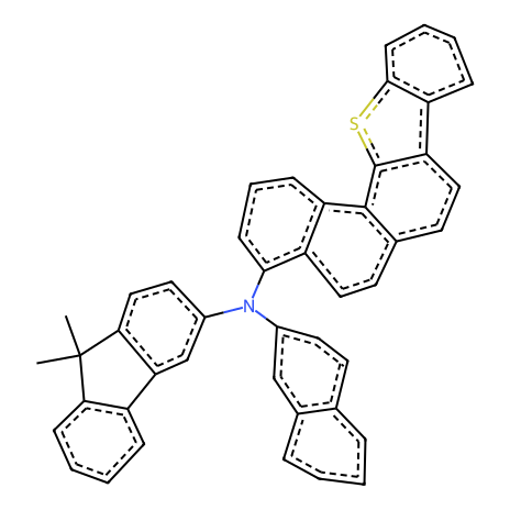 CC1(C)c2ccccc2-c2cc(N(c3ccc4ccccc4c3)c3cccc4c3ccc3ccc5c6ccccc6sc5c34)ccc21